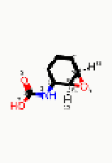 O=C(O)NC1CCC[C@H]2O[C@@H]12